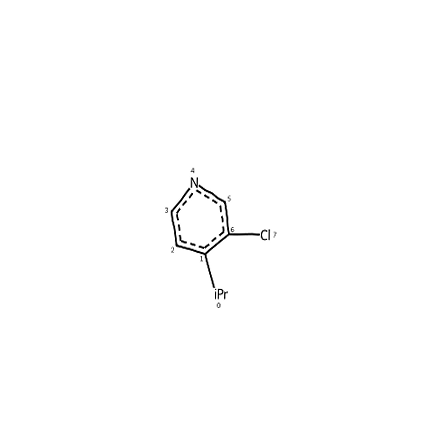 CC(C)c1ccncc1Cl